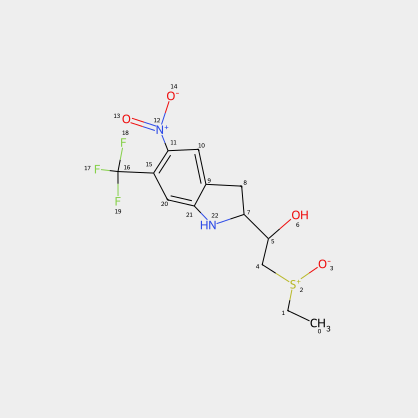 CC[S+]([O-])CC(O)C1Cc2cc([N+](=O)[O-])c(C(F)(F)F)cc2N1